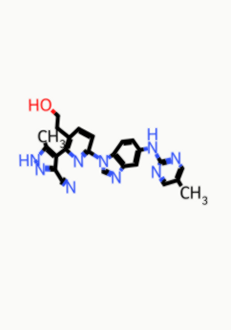 Cc1cnc(Nc2ccc3c(c2)ncn3-c2ccc(CCO)c(-c3c(C#N)n[nH]c3C)n2)nc1